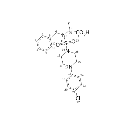 C[C@H](C(=O)O)N(Cc1ccccc1)S(=O)(=O)N1CCN(c2ccc(Cl)cc2)CC1